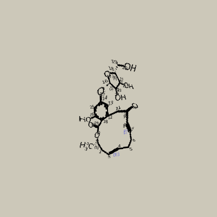 C[C@H]1C/C=C/CC/C=C/C(=O)Cc2cc(O[C@@H]3O[C@H](CO)[C@@H](O)[C@H]3O)cc(O)c2C(=O)O1